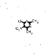 Cc1nc(C)c([N+](=O)[O-])c(Cl)n1